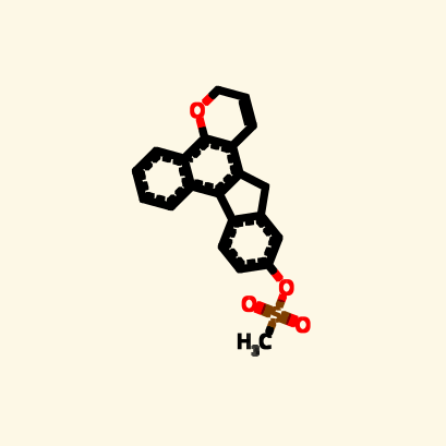 CS(=O)(=O)Oc1ccc2c(c1)Cc1c3c(c4ccccc4c1-2)OCC=C3